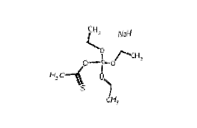 CCO[Si](OCC)(OCC)OC(C)=S.[NaH]